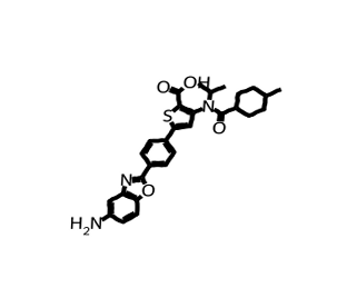 CC1CCC(C(=O)N(c2cc(-c3ccc(-c4nc5cc(N)ccc5o4)cc3)sc2C(=O)O)C(C)C)CC1